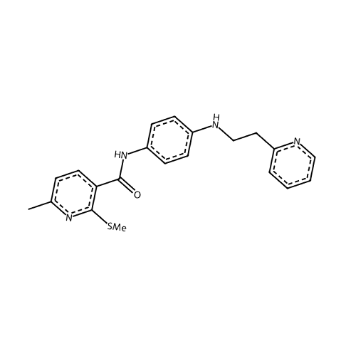 CSc1nc(C)ccc1C(=O)Nc1ccc(NCCc2ccccn2)cc1